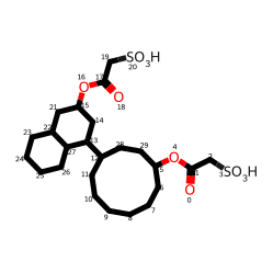 O=C(CS(=O)(=O)O)OC1CCCCCCC(C2CC(OC(=O)CS(=O)(=O)O)CC3CCCCC32)CC1